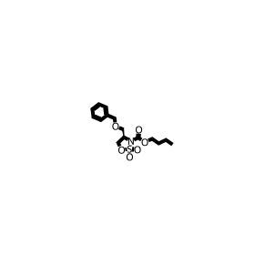 CCCCOC(=O)N1[C@H](COCc2ccccc2)COS1(=O)=O